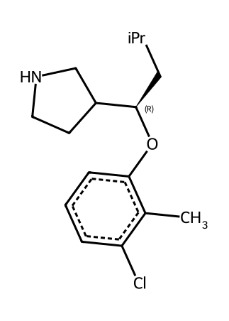 Cc1c(Cl)cccc1O[C@H](CC(C)C)C1CCNC1